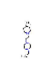 CCN1CCN(CCN2CCC(C)CC2)CC1